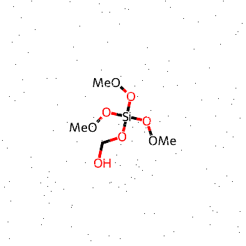 COO[Si](OCO)(OOC)OOC